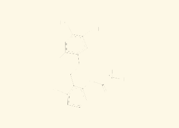 CNC(=O)Oc1cccc(Br)c1COc1cc(C)c(C)cc1C